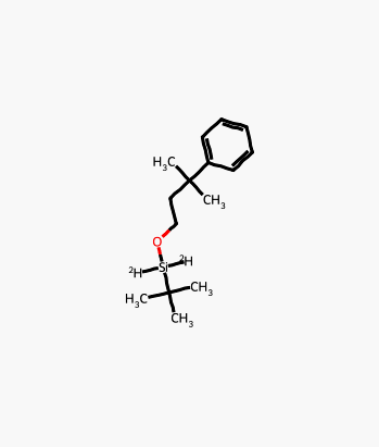 [2H][Si]([2H])(OCCC(C)(C)c1ccccc1)C(C)(C)C